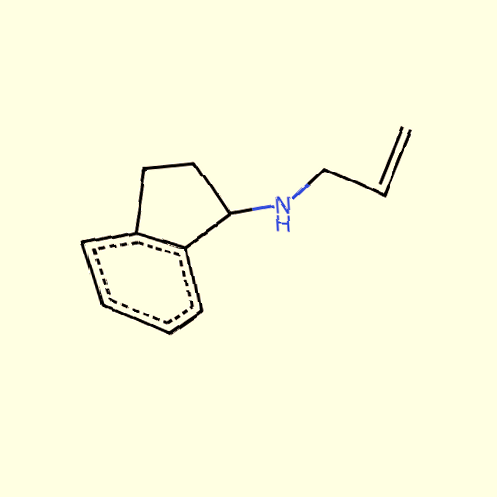 C=CCNC1CCc2ccccc21